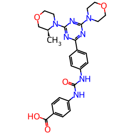 C[C@H]1COCCN1c1nc(-c2ccc(NC(=O)Nc3ccc(C(=O)O)cc3)cc2)nc(N2CCOCC2)n1